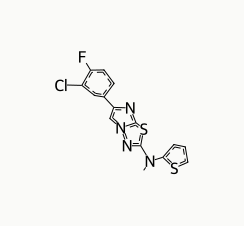 CN(c1cccs1)c1nn2cc(-c3ccc(F)c(Cl)c3)nc2s1